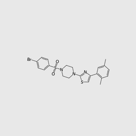 Cc1ccc(C)c(-c2csc(N3CCN(S(=O)(=O)c4ccc(Br)cc4)CC3)n2)c1